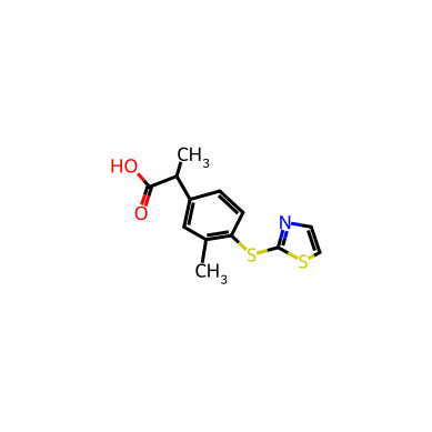 Cc1cc(C(C)C(=O)O)ccc1Sc1nccs1